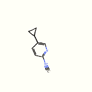 [C-]#[N+]c1ccc(C2CC2)cn1